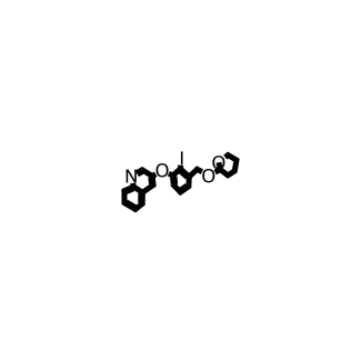 Ic1c(COC2CCCCO2)cccc1Oc1cnc2ccccc2c1